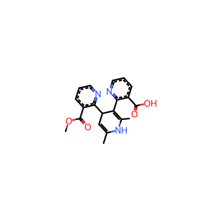 COC(=O)c1cccnc1C1C=C(C)NC(C)=C1c1ncccc1C(=O)O